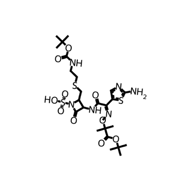 CC(C)(C)OC(=O)NCCSCC1C(NC(=O)C(=NOC(C)(C)C(=O)OC(C)(C)C)c2cnc(N)s2)C(=O)N1S(=O)(=O)O